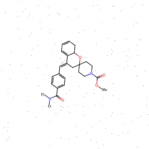 CCN(CC)C(=O)c1ccc(/C=C2\CC3(CCN(C(=O)OC(C)(C)C)CC3)OC3CC=CC=C23)cc1